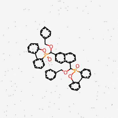 O=P1(C(OCc2ccccc2)c2ccc3c(C(OCc4ccccc4)P4(=O)Oc5ccccc5-c5ccccc54)cccc3c2)Oc2ccccc2-c2ccccc21